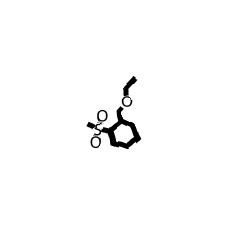 CCOCC1CCCCC1S(C)(=O)=O